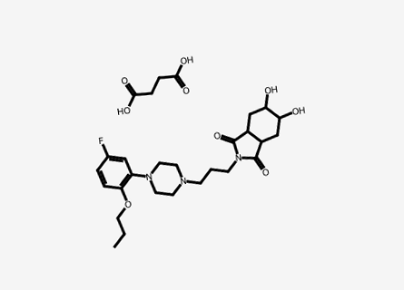 CCCOc1ccc(F)cc1N1CCN(CCCN2C(=O)C3CC(O)C(O)CC3C2=O)CC1.O=C(O)CCC(=O)O